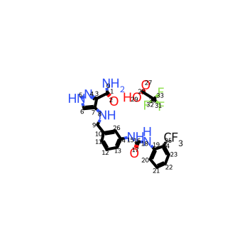 NC(=O)c1n[nH]cc1NCc1cccc(NC(=O)Nc2ccccc2C(F)(F)F)c1.O=C(O)C(F)(F)F